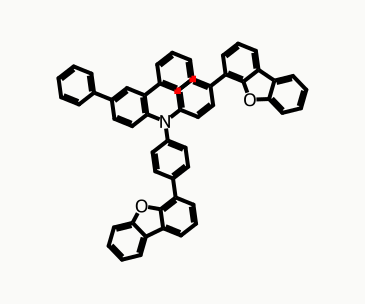 c1ccc(-c2ccc(N(c3ccc(-c4cccc5c4oc4ccccc45)cc3)c3ccc(-c4cccc5c4oc4ccccc45)cc3)c(-c3ccccc3)c2)cc1